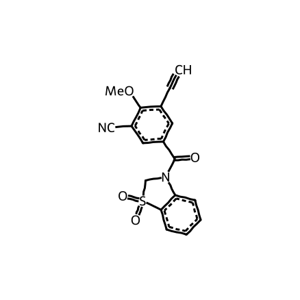 C#Cc1cc(C(=O)N2CS(=O)(=O)c3ccccc32)cc(C#N)c1OC